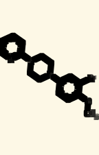 COc1ccc(N2CCN(c3ccccn3)CC2)cc1Br